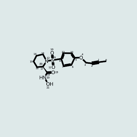 CC#CCOc1ccc(S(=O)(=O)N2CCCC[C@@H]2C(=O)NO)cc1